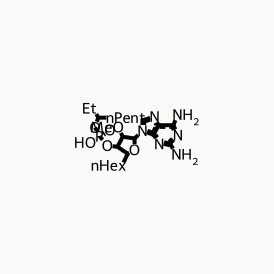 CCCCCCC1OC(n2cnc3c(N)nc(N)nc32)C(OC)C1OP(=O)(O)OC(CC)CCCCC